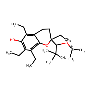 CCc1c(O)c(CC)c2c(c1CC)OC(CC)(C(O[SiH](C)C)C(C)(C)C)CC2